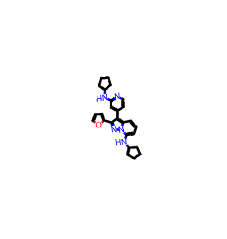 c1coc(-c2nn3c(NC4CCCC4)cccc3c2-c2ccnc(NC3CCCC3)c2)c1